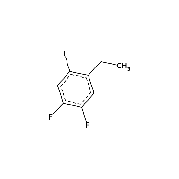 CCc1cc(F)c(F)cc1I